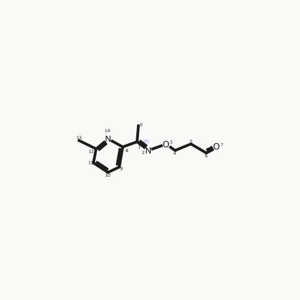 C/C(=N\OCCC=O)c1cccc(C)n1